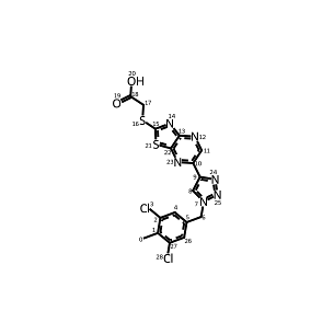 Cc1c(Cl)cc(Cn2cc(-c3cnc4nc(SCC(=O)O)sc4n3)nn2)cc1Cl